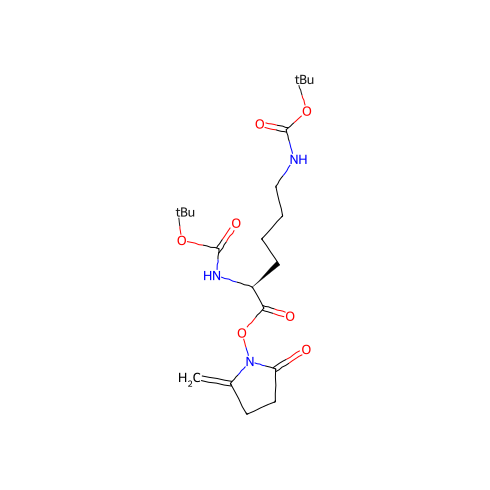 C=C1CCC(=O)N1OC(=O)[C@H](CCCCNC(=O)OC(C)(C)C)NC(=O)OC(C)(C)C